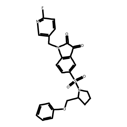 O=C1C(=O)N(Cc2ccc(F)nc2)c2ccc(S(=O)(=O)N3CCCC3COc3ccccc3)cc21